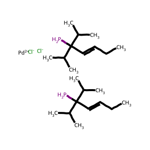 CCC=CC(P)(C(C)C)C(C)C.CCC=CC(P)(C(C)C)C(C)C.[Cl-].[Cl-].[Pd+2]